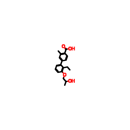 CCc1c(OCC(C)O)cccc1-c1ccc(C(=O)O)c(C)c1